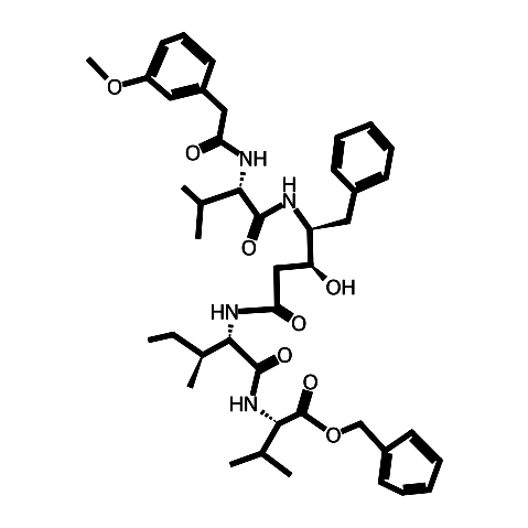 CC[C@H](C)[C@H](NC(=O)C[C@H](O)[C@H](Cc1ccccc1)NC(=O)[C@@H](NC(=O)Cc1cccc(OC)c1)C(C)C)C(=O)N[C@H](C(=O)OCc1ccccc1)C(C)C